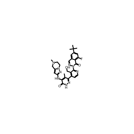 Cc1c(-c2ccnc(-n3ncc4cc(C(C)(C)C)cc(F)c4c3=O)c2CO)n[nH]c(=O)c1Nc1cc2n(n1)CCN(C)C2